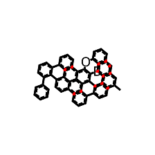 Cc1cc(C)c(B2c3ccccc3Oc3c2c(-c2c(-c4ccccc4)cccc2-c2ccccc2)c2ccc4ccc(-c5c(-c6ccccc6)cccc5-c5ccccc5)c5ccc3c2c45)c(C)c1